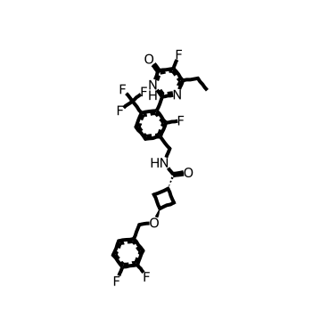 CCc1nc(-c2c(C(F)(F)F)ccc(CNC(=O)[C@H]3C[C@H](OCc4ccc(F)c(F)c4)C3)c2F)[nH]c(=O)c1F